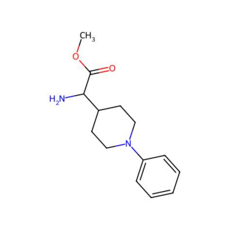 COC(=O)C(N)C1CCN(c2ccccc2)CC1